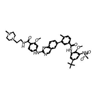 COc1cc(Nc2ncc3cc(-c4cc(C(=O)Nc5cc(C(C)(C)C)cc(NS(C)(=O)=O)c5OC)ccc4C)ccc3n2)ccc1C(=O)NCCN1CCN(C)CC1